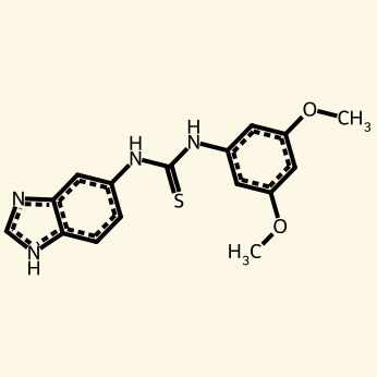 COc1cc(NC(=S)Nc2ccc3[nH]cnc3c2)cc(OC)c1